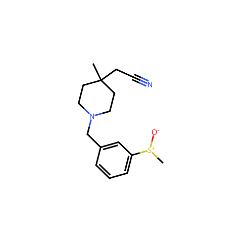 C[S+]([O-])c1cccc(CN2CCC(C)(CC#N)CC2)c1